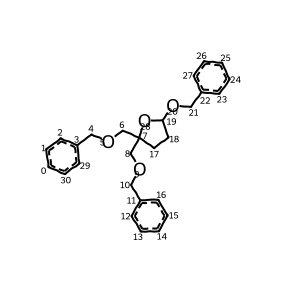 c1ccc(COCC2(COCc3ccccc3)CCC(OCc3ccccc3)O2)cc1